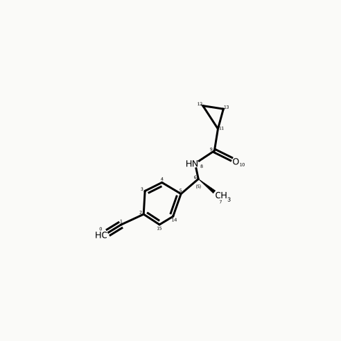 C#Cc1ccc([C@H](C)NC(=O)C2CC2)cc1